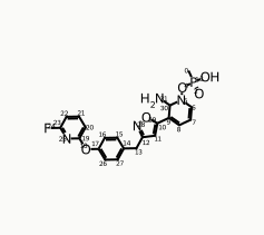 CP(=O)(O)ON1C=CC=C(c2cc(Cc3ccc(Oc4cccc(F)n4)cc3)no2)C1N